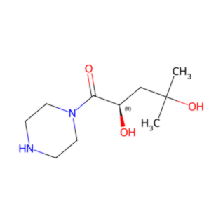 CC(C)(O)C[C@@H](O)C(=O)N1CCNCC1